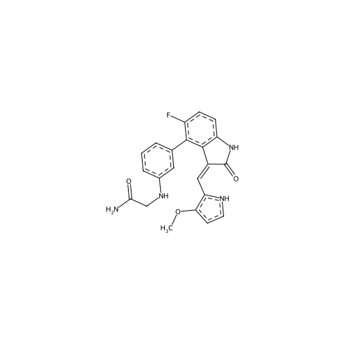 COc1cc[nH]c1C=C1C(=O)Nc2ccc(F)c(-c3cccc(NCC(N)=O)c3)c21